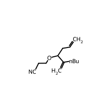 C=CCC(OCCC#N)C(=C)CCCC